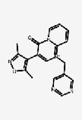 Cc1noc(C)c1-c1c[n+](Cc2cncnc2)c2ccccn2c1=O